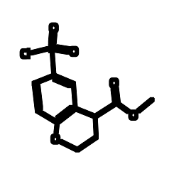 COC(=O)C1CCOc2ccc(S(=O)(=O)Cl)cc21